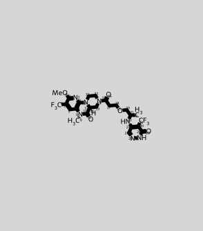 COc1nc2c(cc1C(F)(F)F)N(C)C(=O)[C@@H]1CN(C(=O)CCOCC(C)Nc3cn[nH]c(=O)c3C(F)(F)F)CCN21